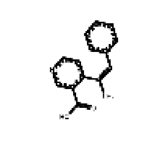 CC(=Cc1ccccc1)c1ccncc1C(=O)O